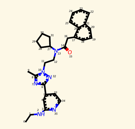 CCNc1cc(-c2nc(C)n(CCN(C(=O)Cc3cccc4ccccc34)C3CCCC3)n2)ccn1